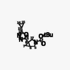 CC(C)(C)OC(=O)N1CC2CC2(c2nnc(C3CC3)o2)C1